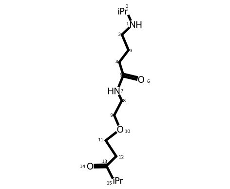 CC(C)NCCCC(=O)NCCOCCC(=O)C(C)C